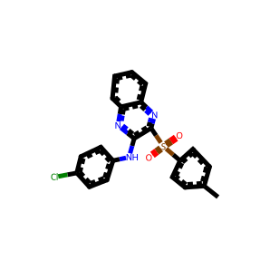 Cc1ccc(S(=O)(=O)c2nc3ccccc3nc2Nc2ccc(Cl)cc2)cc1